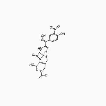 CC(=O)OCC1=C(C(=O)O)N2C(=O)[C@@H](NC(=O)C(=NO)c3ccc(O)c([N+](=O)[O-])c3)[C@H]2SC1